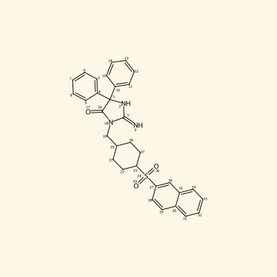 N=C1NC(c2ccccc2)(c2ccccc2)C(=O)N1CC1CCC(S(=O)(=O)c2ccc3ccccc3c2)CC1